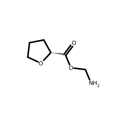 NCOC(=O)[C@H]1CCCO1